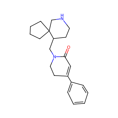 O=C1C=C(c2ccccc2)CCN1CC1CCNCC12CCCC2